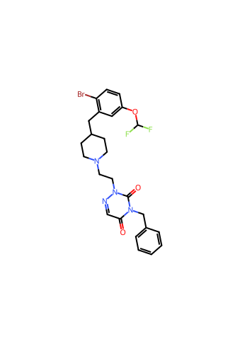 O=c1cnn(CCN2CCC(Cc3cc(OC(F)F)ccc3Br)CC2)c(=O)n1Cc1ccccc1